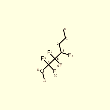 CCCC(F)C(F)(F)C(F)(F)OC